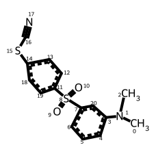 CN(C)c1cccc(S(=O)(=O)c2ccc(SC#N)cc2)c1